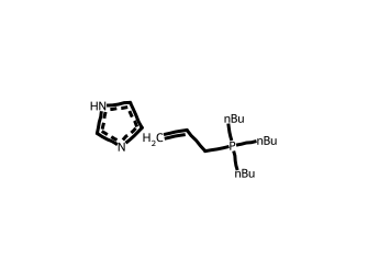 C=CC[P](CCCC)(CCCC)CCCC.c1c[nH]cn1